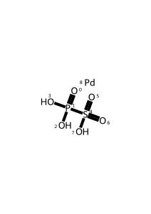 O=P(O)(O)S(=O)(=O)O.[Pd]